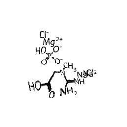 CN(CC(=O)O)C(=N)N.O=P([O-])([O-])O.[Cl-].[Cl-].[Mg+2].[Na+].[Na+]